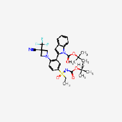 CCS(=O)(=NC(=O)OC(C)(C)C)c1ccc(N2CC(C#N)(C(F)(F)F)C2)c(-c2cc3ccccc3n2C(=O)OC(C)(C)C)c1